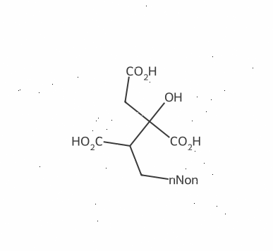 CCCCCCCCCCC(C(=O)O)C(O)(CC(=O)O)C(=O)O